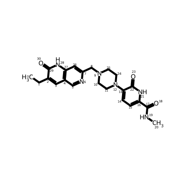 CCc1cc2cnc(CN3CCN(c4ccc(C(=O)NC)[nH]c4=O)CC3)cc2[nH]c1=O